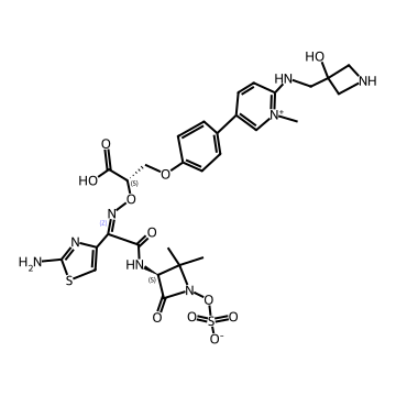 C[n+]1cc(-c2ccc(OC[C@H](O/N=C(\C(=O)N[C@@H]3C(=O)N(OS(=O)(=O)[O-])C3(C)C)c3csc(N)n3)C(=O)O)cc2)ccc1NCC1(O)CNC1